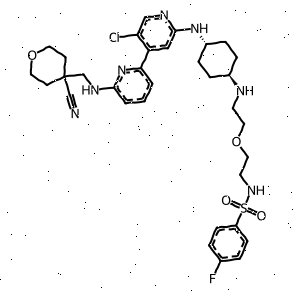 N#CC1(CNc2cccc(-c3cc(N[C@H]4CC[C@H](NCCOCCNS(=O)(=O)c5ccc(F)cc5)CC4)ncc3Cl)n2)CCOCC1